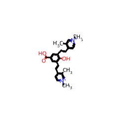 Cc1c[n+](C)ccc1/C=C/c1cc(C(=O)O)cc(/C=C/c2cc[n+](C)cc2C)c1O